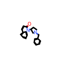 O=c1ccc2ccccc2n1C1CCN(Cc2ccccc2)C1